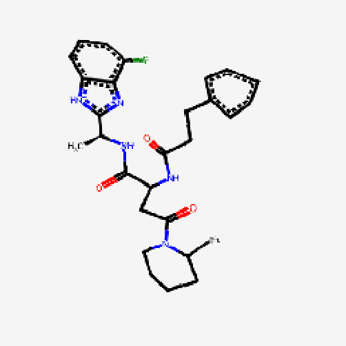 CCC1CCCCN1C(=O)CC(NC(=O)CCc1ccccc1)C(=O)N[C@@H](C)c1nc2c(F)cccc2[nH]1